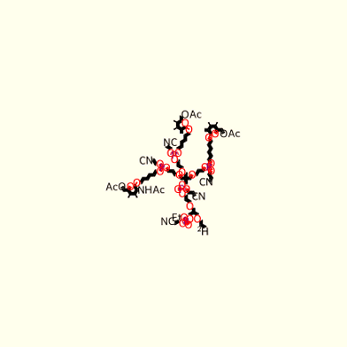 [2H]CCCOCC(COCCCOP(=O)(OCCC#N)OCC(COCCCOP(OCCCCCCO[C@@H]1OC(COC(C)=O)[C@H](C)[C@H](C)C1C)OCC[N+]#[C-])(COCCCOP(OCCCCCCO[C@@H]1OC(COC(C)=O)[C@H](C)[C@H](C)C1C)OCC[N+]#[C-])COCCCOP(OCCCCCCO[C@@H]1OC(COC(C)=O)[C@H](C)[C@H](C)C1NC(C)=O)OCC[N+]#[C-])COP(=O)(OCC)OCCC#N